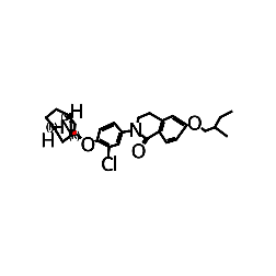 CCC(C)COc1ccc2c(c1)CCN(c1ccc(O[C@H]3C[C@H]4CC[C@@H](C3)N4C)c(Cl)c1)C2=O